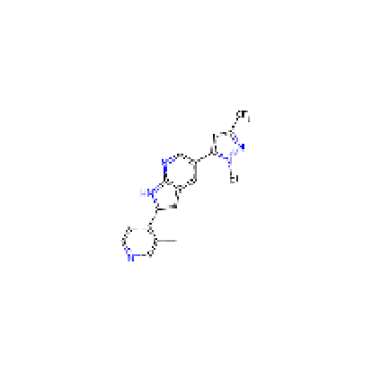 CCn1nc(C(F)(F)F)cc1-c1cnc2[nH]c(-c3ccncc3C)cc2c1